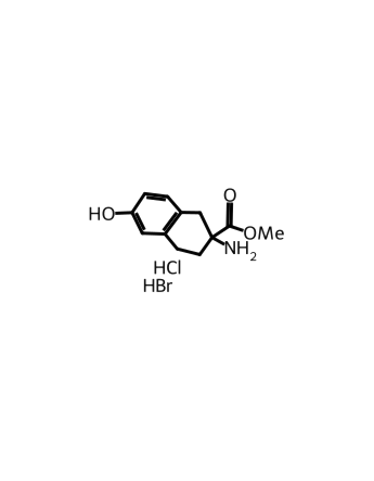 Br.COC(=O)C1(N)CCc2cc(O)ccc2C1.Cl